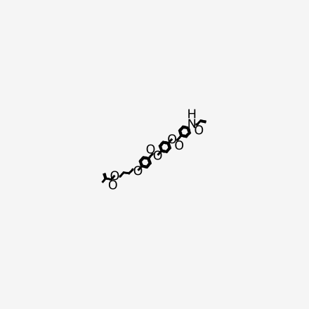 C=CC(=O)Nc1ccc(C(=O)Oc2ccc(OC(=O)c3ccc(OCCCCOC(=O)C(=C)C)cc3)cc2)cc1